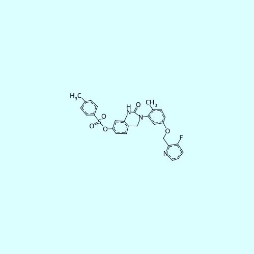 Cc1ccc(S(=O)(=O)Oc2ccc3c(c2)NC(=O)N(c2cc(OCc4ncccc4F)ccc2C)C3)cc1